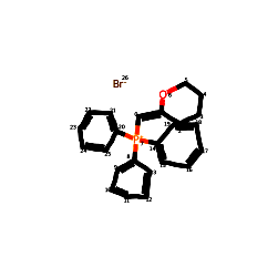 C(=C1CCCCO1)[P+](c1ccccc1)(c1ccccc1)c1ccccc1.[Br-]